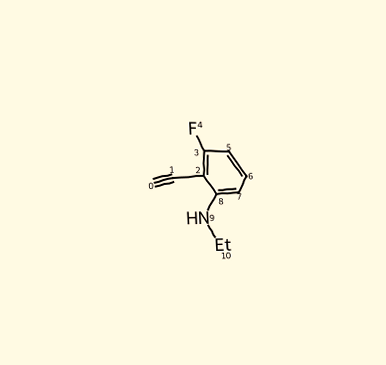 C#Cc1c(F)cccc1NCC